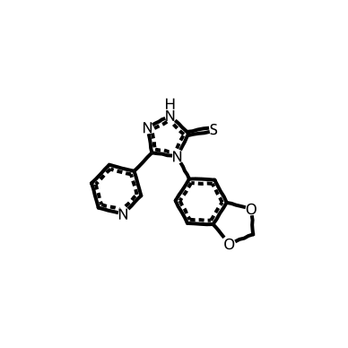 S=c1[nH]nc(-c2cccnc2)n1-c1ccc2c(c1)OCO2